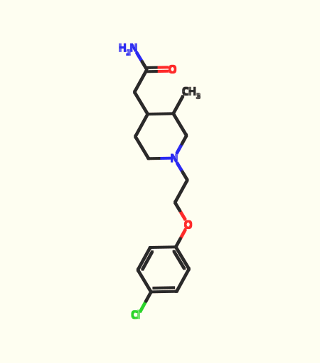 CC1CN(CCOc2ccc(Cl)cc2)CCC1CC(N)=O